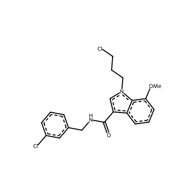 COc1cccc2c(C(=O)NCc3cccc(Cl)c3)cn(CCCCl)c12